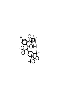 COC(=O)C(C1CCN(C(=O)O)C(C(C)(C)C)C1)C(O)c1ccc(F)cc1NC(=O)C(C)(C)C